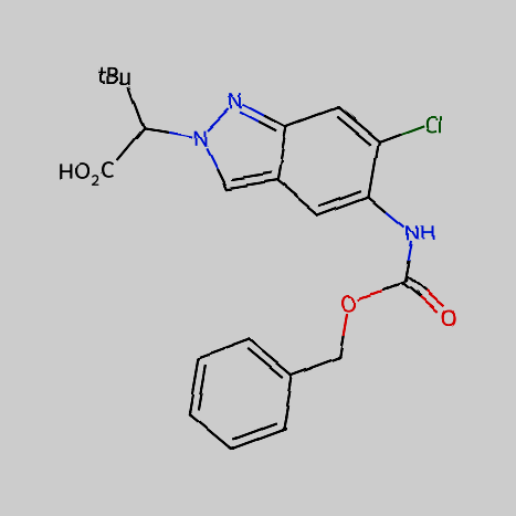 CC(C)(C)C(C(=O)O)n1cc2cc(NC(=O)OCc3ccccc3)c(Cl)cc2n1